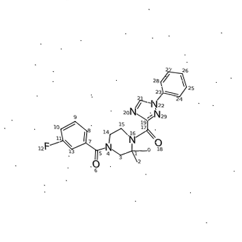 CC1(C)CN(C(=O)c2cccc(F)c2)CCN1C(=O)c1ncn(-c2ccccc2)n1